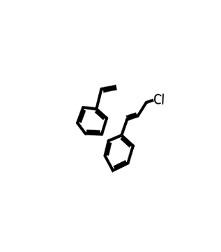 C=Cc1ccccc1.ClCC=Cc1ccccc1